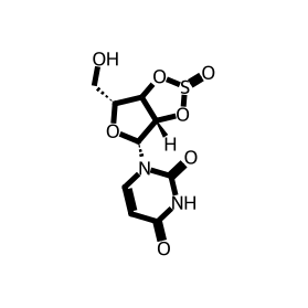 O=c1ccn([C@@H]2O[C@H](CO)C3OS(=O)O[C@@H]32)c(=O)[nH]1